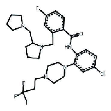 O=C(Nc1ccc(Cl)cc1N1CCN(CCC(F)(F)F)CC1)c1ccc(F)cc1CN1CCCC1CN1CCCC1